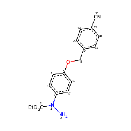 CCOC(=O)N(N)c1ccc(OCc2ccc(C#N)cc2)cc1